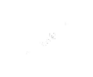 CCCCCC1CCC(C(=O)Oc2ccc(-c3ncc(CC[C@H]4CC[C@H](CC)CC4)cn3)cc2)CC1